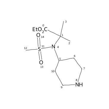 CCOC(=O)C(C)(C)N(C1CCNCC1)S(C)(=O)=O